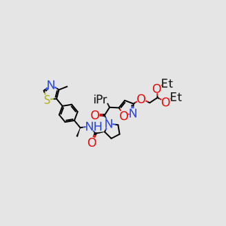 CCOC(COc1cc(C(C(=O)N2CCC[C@H]2C(=O)N[C@@H](C)c2ccc(-c3scnc3C)cc2)C(C)C)on1)OCC